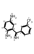 N=C(c1cccc(C(F)(F)F)c1)c1cc(N)ccc1N